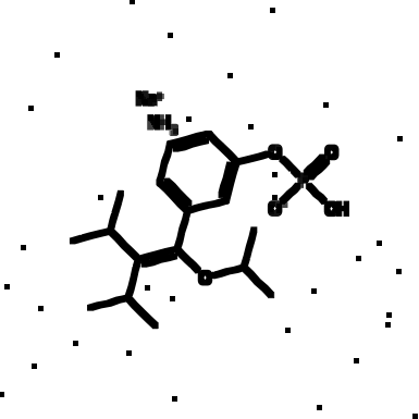 CC(C)OC(=C(C(C)C)C(C)C)c1cccc(OP(=O)([O-])O)c1.N.[Na+]